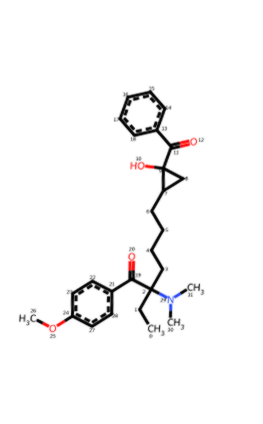 CCC(CCCCC1CC1(O)C(=O)c1ccccc1)(C(=O)c1ccc(OC)cc1)N(C)C